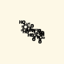 Cc1cc(O)c(C)c(C(=O)N/N=C/[C@@]2(C)[C@H](C(=O)O)N3C(=O)C[C@H]3S2(=O)=O)c1O